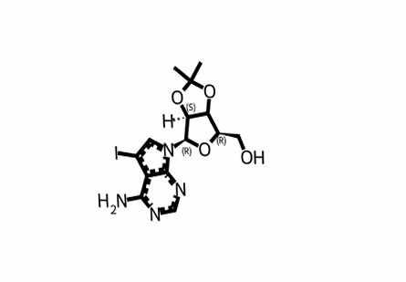 CC1(C)OC2[C@@H](CO)O[C@@H](n3cc(I)c4c(N)ncnc43)[C@H]2O1